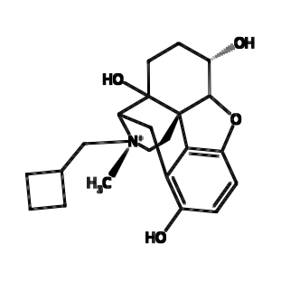 C[N@+]1(CC2CCC2)CC[C@@]23c4c5ccc(O)c4CC1C2(O)CC[C@H](O)C3O5